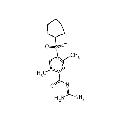 Cc1cc(S(=O)(=O)C2CCCCC2)c(C(F)(F)F)cc1C(=O)N=C(N)N